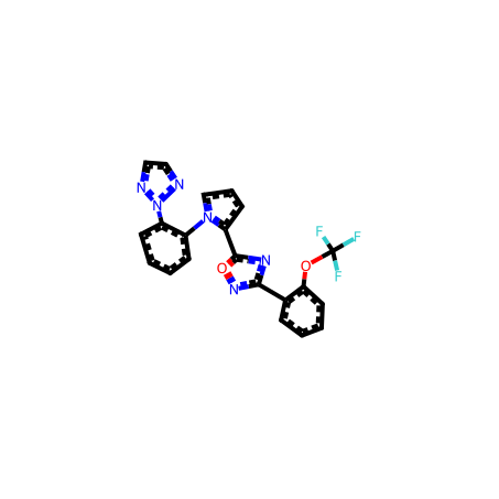 FC(F)(F)Oc1ccccc1-c1noc(-c2cccn2-c2ccccc2-n2nccn2)n1